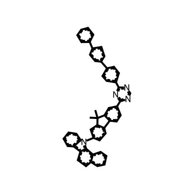 CC1(C)c2cc(-c3ncnc(-c4ccc(-c5ccc(-c6ccccc6)cc5)cc4)n3)ccc2-c2ccc(-n3c4ccccc4c4ccc5ccccc5c43)cc21